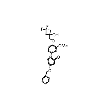 COc1cc(-n2ccc(OCc3ccccc3)cc2=O)ccc1OCC1(O)CC(F)(F)C1